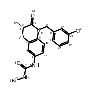 C[C@H]1Oc2cc(NC(=O)NC(C)(C)C)ccc2N(Cc2cccc(Cl)c2)C1=O